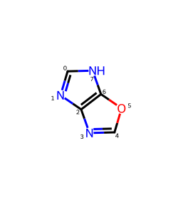 c1nc2ncoc2[nH]1